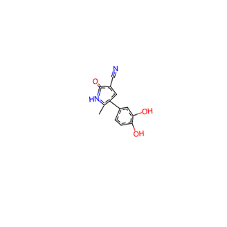 Cc1[nH]c(=O)c(C#N)cc1-c1ccc(O)c(O)c1